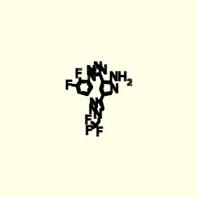 Nc1ncc(-c2cn(CC(F)(F)F)nn2)cc1-c1nnnn1-c1cccc(F)c1F